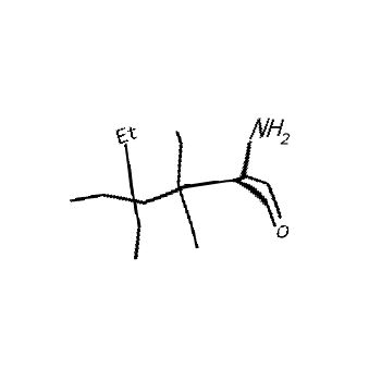 CCC(C)(C)C(C)(C)C(N)=O